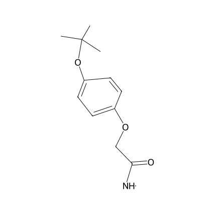 CC(C)(C)Oc1ccc(OCC([NH])=O)cc1